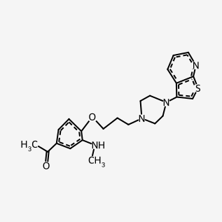 CNc1cc(C(C)=O)ccc1OCCCN1CCN(c2csc3ncccc23)CC1